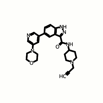 C#CCN1CCC(NC(=O)c2n[nH]c3ccc(-c4cncc(N5CCOCC5)c4)cc23)CC1